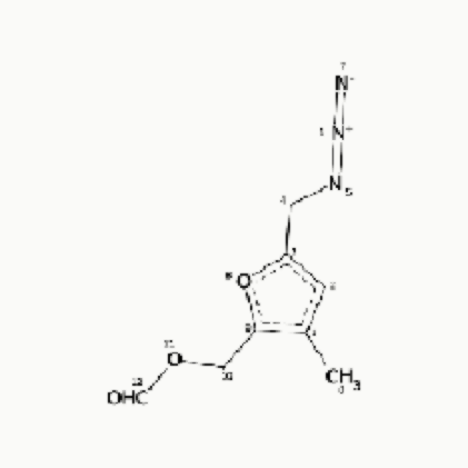 Cc1cc(CN=[N+]=[N-])oc1COC=O